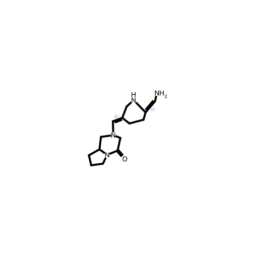 N/C=C1/CC/C(=C\N2CC(=O)N3CCCC3C2)CN1